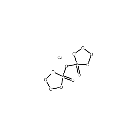 O=P1(OP2(=O)OOOO2)OOOO1.[Ca]